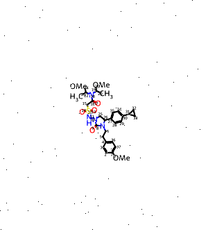 COc1ccc(CCN2C(=O)N(NS(=O)(=O)CC(=O)N(C(C)OC)C(C)OC)CC2c2ccc(C3CC3)cc2)cc1